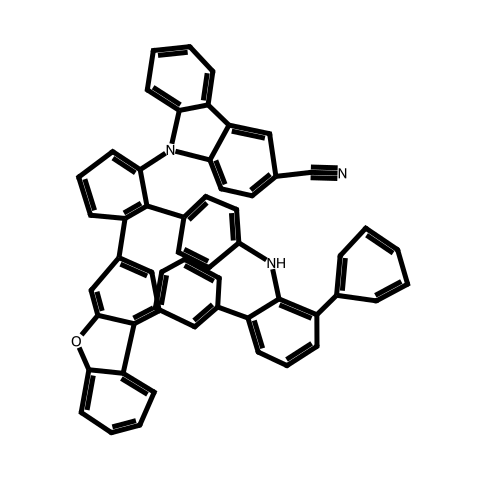 N#Cc1ccc2c(c1)c1ccccc1n2-c1cccc(-c2ccc3c(c2)oc2ccccc23)c1-c1ccc(Nc2c(-c3ccccc3)cccc2-c2ccccc2)cc1